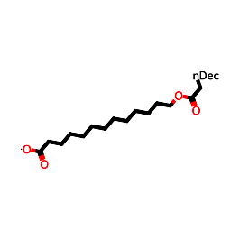 CCCCCCCCCCCC(=O)OCCCCCCCCCCCCC([O])=O